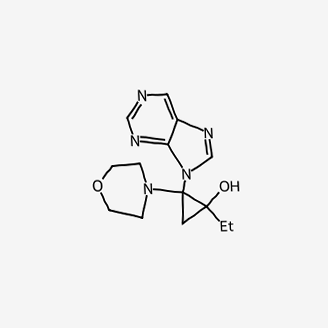 CCC1(O)CC1(N1CCOCC1)n1cnc2cncnc21